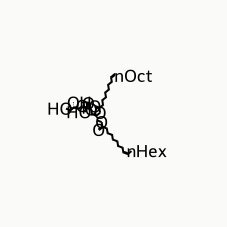 CCCCCC/C=C\CCCCCCCC(=O)OC[C@H](COP(=O)(O)OC[C@@H](O)CO)OC(=O)CCCCCCC/C=C\CCCCCCCC